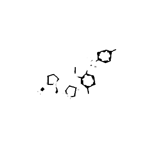 COc1c(OS(=O)(=O)c2ccc(C)cc2)ccc(C)c1[C@@H]1CN[C@H](C(=O)N2CCC[C@H]2C#N)C1